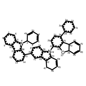 C1=CCC(n2c3ccccc3c3cccc(-c4ccc5c(c4)c4c(n5-c5ccc(-c6ccccc6)c6c5OC5C=CC=CC65)C=CCC4)c32)C=C1